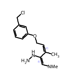 CN/C=C(NN)\C(C)=C/COc1cccc(CCl)c1